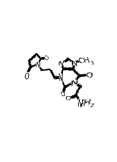 Cn1cnc2c1c(=O)n(CC(N)=O)c(=O)n2CCCN1C(=O)C=CC1=O